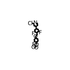 O=S(=O)(F)Oc1ccc(OCc2c(F)cc(-c3ccnc(Cl)c3)cc2F)cc1